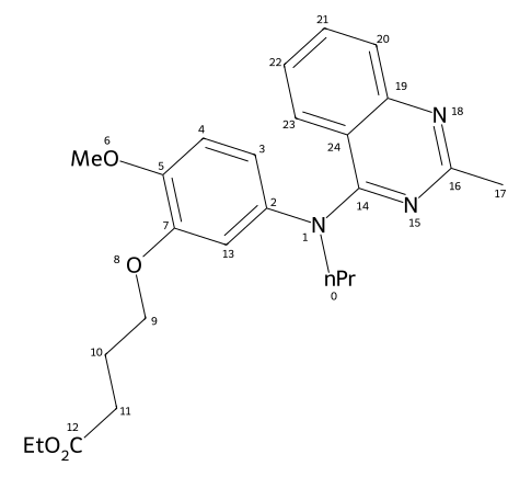 CCCN(c1ccc(OC)c(OCCCC(=O)OCC)c1)c1nc(C)nc2ccccc12